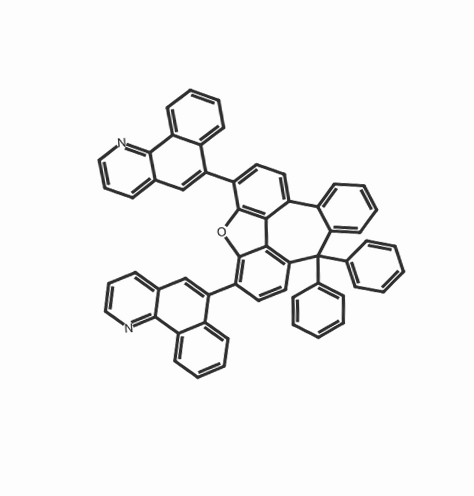 c1ccc(C2(c3ccccc3)c3ccccc3-c3ccc(-c4cc5cccnc5c5ccccc45)c4oc5c(-c6cc7cccnc7c7ccccc67)ccc2c5c34)cc1